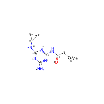 COCC(=O)Nc1nc(N)nc(NC2CC2)n1